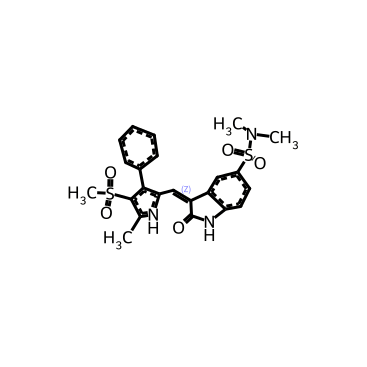 Cc1[nH]c(/C=C2\C(=O)Nc3ccc(S(=O)(=O)N(C)C)cc32)c(-c2ccccc2)c1S(C)(=O)=O